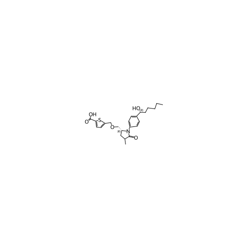 CCCCC[C@@H](O)c1ccc(N2C(=O)C(C)C[C@@H]2COCc2ccc(C(=O)O)s2)cc1